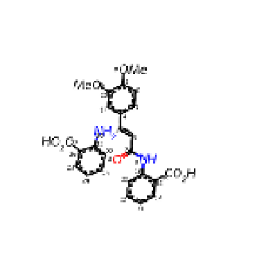 COc1ccc(/C=C/C(=O)Nc2ccccc2C(=O)O)cc1OC.Nc1ccccc1C(=O)O